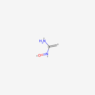 C=C(N)N=O